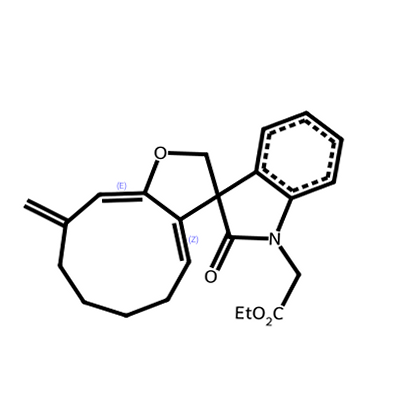 C=C1/C=C2/OCC3(C(=O)N(CC(=O)OCC)c4ccccc43)/C2=C/CCCC1